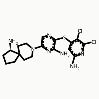 Nc1cc(Sc2ncc(N3CCC4(CCC[C@H]4N)CC3)nc2N)c(Cl)c(Cl)n1